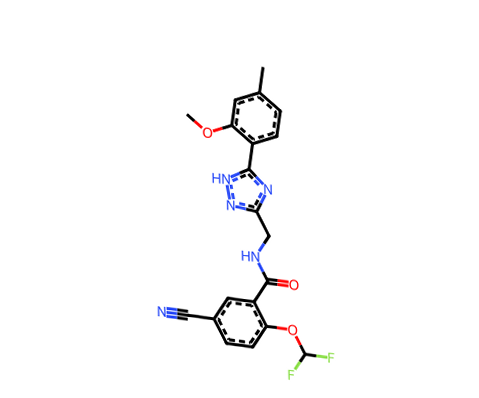 COc1cc(C)ccc1-c1nc(CNC(=O)c2cc(C#N)ccc2OC(F)F)n[nH]1